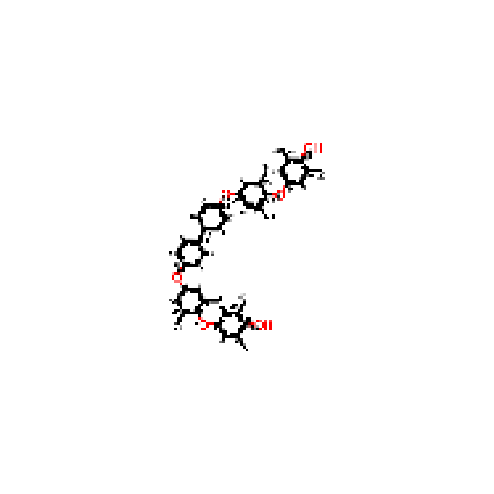 Cc1cc(Oc2c(C)cc(Oc3ccc(-c4ccc(Oc5cc(C)c(Oc6cc(C)c(O)c(C)c6)c(C)c5)cc4)cc3)cc2C)cc(C)c1O